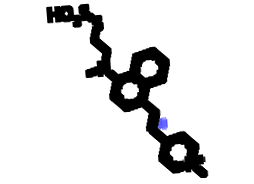 CN(CCSS(=O)(=O)O)c1ccc(/C=C/c2cc[n+](C)cc2)c2ccccc12